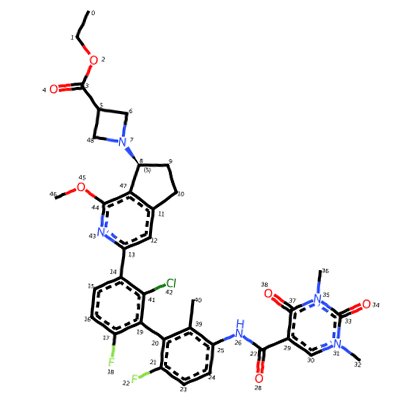 CCOC(=O)C1CN([C@H]2CCc3cc(-c4ccc(F)c(-c5c(F)ccc(NC(=O)c6cn(C)c(=O)n(C)c6=O)c5C)c4Cl)nc(OC)c32)C1